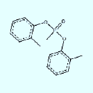 Cc1ccccc1OP(C)(=O)Oc1ccccc1C